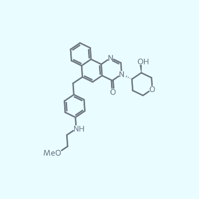 COCCNc1ccc(Cc2cc3c(=O)n([C@H]4CCOC[C@@H]4O)cnc3c3ccccc23)cc1